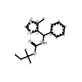 CCC(C)(C)OC(=O)NC(c1ccccc1)c1scnc1C